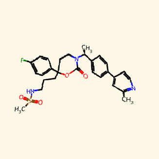 Cc1cc(-c2ccc([C@H](C)N3CCC(CCCNS(C)(=O)=O)(c4ccc(F)cc4)OC3=O)cc2)ccn1